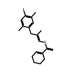 C=C(S/C=C(\C)Cc1cc(C)c(I)cc1C)C1=CCCCC1